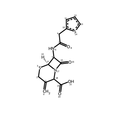 C=C1CS[C@H]2C(NC(=O)Cc3cccs3)C(=O)N2C1C(=O)O